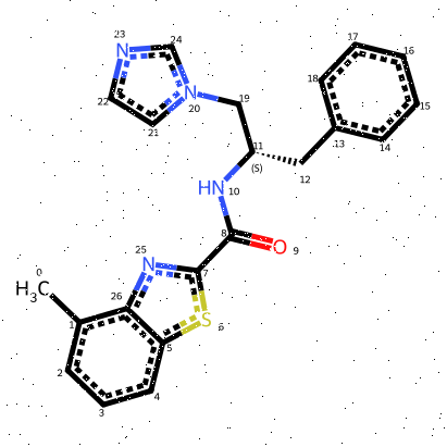 Cc1cccc2sc(C(=O)N[C@@H](Cc3ccccc3)Cn3ccnc3)nc12